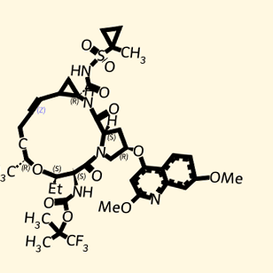 CC[C@@H]1O[C@H](C)CC/C=C\C2C[C@@]2(C(=O)NS(=O)(=O)C2(C)CC2)NC(=O)[C@@H]2C[C@@H](Oc3cc(OC)nc4cc(OC)ccc34)CN2C(=O)[C@H]1NC(=O)OC(C)(C)C(F)(F)F